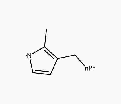 CCCCC1=C(C)[N]C=C1